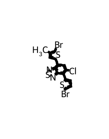 Cc1cc(-c2cc(Cl)c(-c3ccc(Br)s3)c3nsnc23)sc1Br